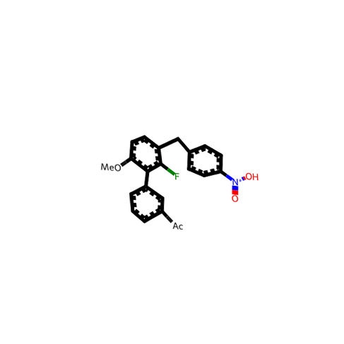 COc1ccc(Cc2ccc([N+](=O)O)cc2)c(F)c1-c1cccc(C(C)=O)c1